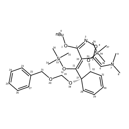 CCCCOc1noc(=C\N(C)C)/c1=C(/O[Si](C)(C)C)[C@]1(OCOCc2ccccc2)C=CC=C[C@H]1O[Si](C)(C)C